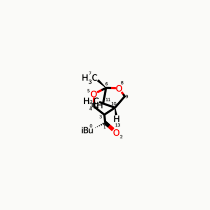 CC[C@@H](C)C(=O)C1CO[C@]2(C)OC[C@H]1[C@H]2C